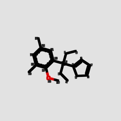 CC[Si](CC)(C1=CC=CC1)c1cc(C)cc(C)c1OC